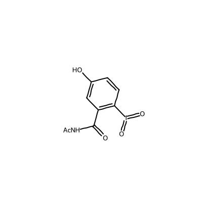 CC(=O)NC(=O)c1cc(O)ccc1I(=O)=O